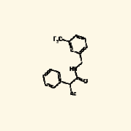 CC(=O)C(C(=O)NCc1cccc(C(F)(F)F)c1)c1ccccc1